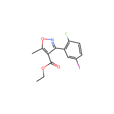 CCOC(=O)c1c(-c2cc(I)ccc2F)noc1C